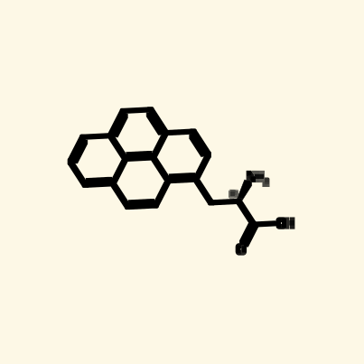 N[C@H](Cc1ccc2ccc3cccc4ccc1c2c34)C(=O)O